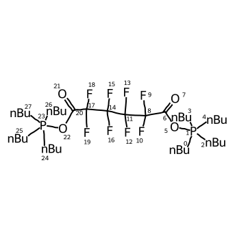 CCCCP(CCCC)(CCCC)(CCCC)OC(=O)C(F)(F)C(F)(F)C(F)(F)C(F)(F)C(=O)OP(CCCC)(CCCC)(CCCC)CCCC